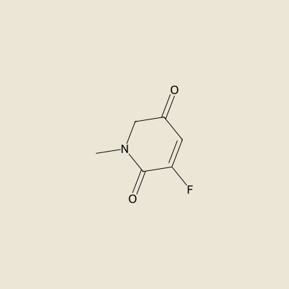 CN1CC(=O)C=C(F)C1=O